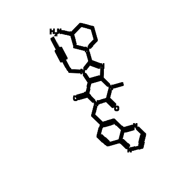 CC#CCn1c(N2CCCC(N)C2)nc2c1c(=O)n(Cc1ccc3nccnc3c1)c(=O)n2C